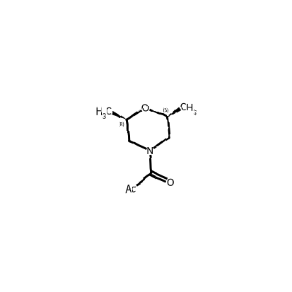 CC(=O)C(=O)N1C[C@@H](C)O[C@@H](C)C1